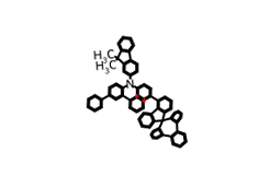 CC1(C)c2ccccc2-c2ccc(N(c3ccc(-c4cccc5c4-c4ccccc4C54c5ccccc5-c5ccccc5-c5ccccc54)cc3)c3ccc(-c4ccccc4)cc3-c3ccccc3)cc21